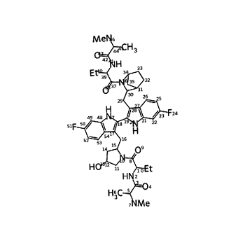 CCC(NC(=O)C(C)NC)C(=O)N1CC(O)CC1Cc1c(-c2[nH]c3cc(F)ccc3c2CC2C3CCC(C3)N2C(=O)C(CC)NC(=O)C(C)NC)[nH]c2cc(F)ccc12